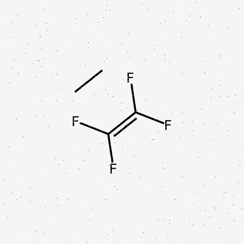 CC.FC(F)=C(F)F